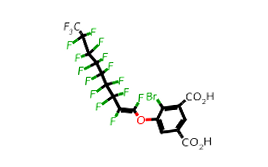 O=C(O)c1cc(OC(F)=C(F)C(F)(F)C(F)(F)C(F)(F)C(F)(F)C(F)(F)C(F)(F)C(F)(F)F)c(Br)c(C(=O)O)c1